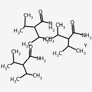 CC(C)C(C(N)=O)C(C)C.CC(C)C(C(N)=O)C(C)C.CC(C)C(C(N)=O)C(C)C.[Y]